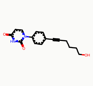 O=c1ccn(-c2ccc(C#CCCCCO)cc2)c(=O)[nH]1